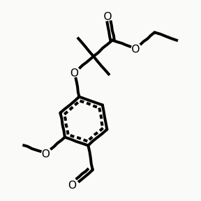 CCOC(=O)C(C)(C)Oc1ccc(C=O)c(OC)c1